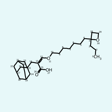 CCCC1(CCCCCCCOC=C(CC23CC4CC(CC(C4)C2)C3)C(=O)O)CCO1